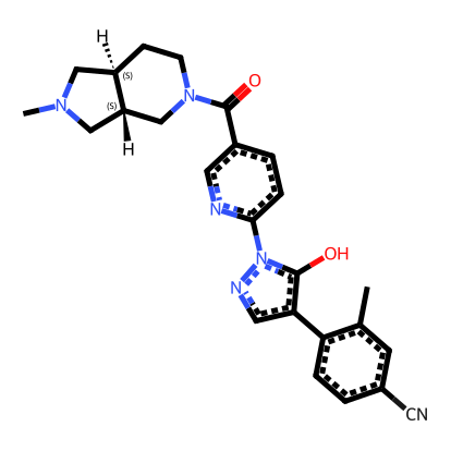 Cc1cc(C#N)ccc1-c1cnn(-c2ccc(C(=O)N3CC[C@@H]4CN(C)C[C@H]4C3)cn2)c1O